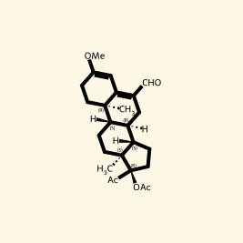 COC1=CC2=C(C=O)C[C@@H]3[C@H](CC[C@@]4(C)[C@H]3CC[C@]4(OC(C)=O)C(C)=O)[C@@]2(C)CC1